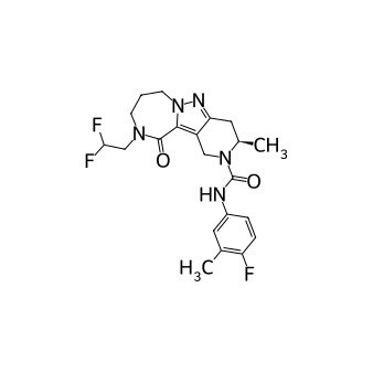 Cc1cc(NC(=O)N2Cc3c(nn4c3C(=O)N(CC(F)F)CCC4)C[C@H]2C)ccc1F